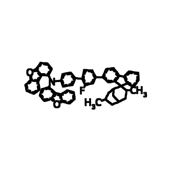 CC1CC2CC(C)C3(c4ccccc4-c4ccc(-c5ccc(-c6ccc(N(c7cccc8oc9ccccc9c78)c7cccc8oc9ccccc9c78)cc6)c(F)c5)cc43)C(C1)C2